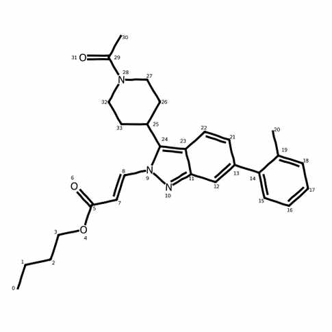 CCCCOC(=O)C=Cn1nc2cc(-c3ccccc3C)ccc2c1C1CCN(C(C)=O)CC1